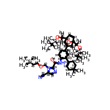 [2H]C([2H])(O[Si](C)(C)C(C)(C)C)C12C=CC(C([2H])([2H])O[Si](C)(C)C(C)(C)C)(CC(c3ccc(NC(=O)c4ncc(C#N)n4COCC[Si](C)(C)C)c(C4=CCC(C)(C)CC4)c3)=C1)O2